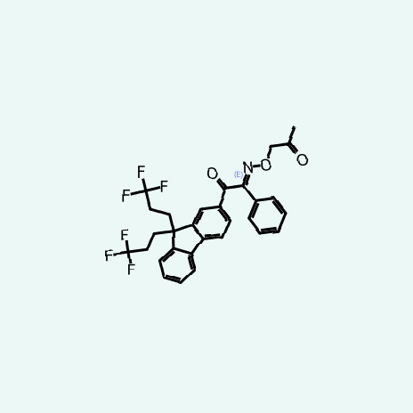 CC(=O)CO/N=C(/C(=O)c1ccc2c(c1)C(CCC(F)(F)F)(CCC(F)(F)F)c1ccccc1-2)c1ccccc1